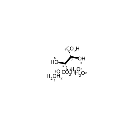 O.O.O.O.O=C(O)[C@H](O)[C@@H](O)C(=O)O